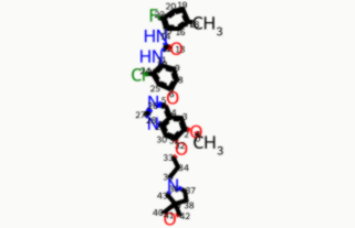 COc1cc2c(Oc3ccc(NC(=O)Nc4cc(C)ccc4F)c(Cl)c3)ncnc2cc1OCCCN1CCC2(COC2)C1